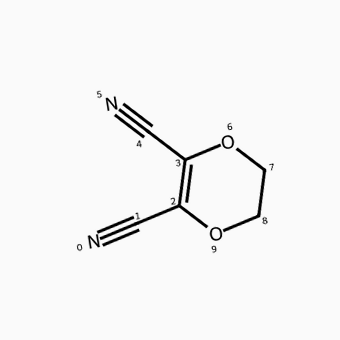 N#CC1=C(C#N)OCCO1